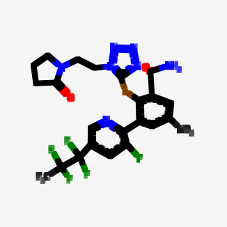 NC(=O)c1cc([N+](=O)[O-])cc(-c2ncc(C(F)(F)C(F)(F)C(F)(F)F)cc2F)c1Sc1nnnn1CCN1CCCC1=O